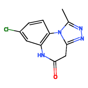 Cc1nnc2n1-c1ccc(Cl)cc1NC(=O)C2